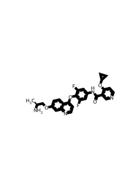 C[C@H](N)COc1ccc2c(Oc3c(F)cc(NC(=O)c4cnccc4OC4CC4)cc3F)ccnc2c1